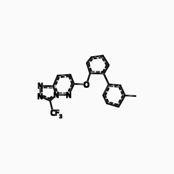 Cc1cccc(-c2ccccc2Oc2ccc3nnc(C(F)(F)F)n3n2)c1